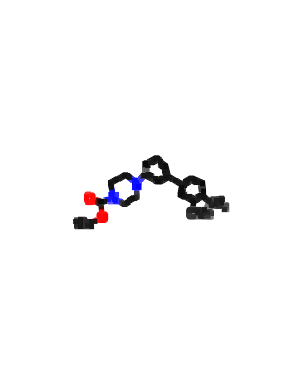 COc1cc(-c2cccc(N3CCN(C(=O)OC(C)(C)C)CC3)c2)ccc1[N+](=O)[O-]